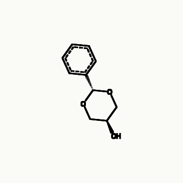 O[C@H]1CO[C@H](c2ccccc2)OC1